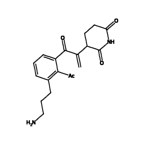 C=C(C(=O)c1cccc(CCCN)c1C(C)=O)C1CCC(=O)NC1=O